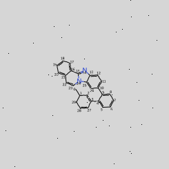 CC1C=C(c2ccccc2-c2ccc3nc4c5ccccc5ccn4c3c2)C=CC1